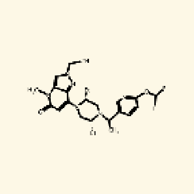 CC[C@H]1CN(C(C)c2ccc(OC(F)F)nc2)[C@H](CC)CN1c1cc(=O)n(C)c2cn(CC#N)nc12